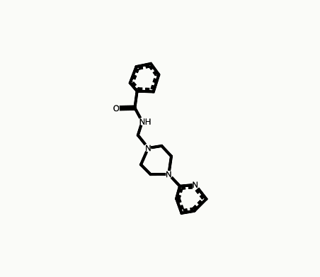 O=C(NCN1CCN(c2ccccn2)CC1)c1ccccc1